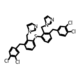 Clc1ccc(Cc2cccc(Sc3cccc(Cc4ccc(Cl)c(Cl)c4)c3Cn3ccnc3)c2Cn2ccnc2)cc1Cl